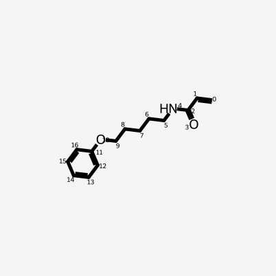 C=CC(=O)NCCCCCOc1ccccc1